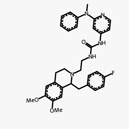 COc1cc2c(cc1OC)C(Cc1ccc(F)cc1)N(CCNC(=O)Nc1ccnc(N(C)c3ccccc3)c1)CC2